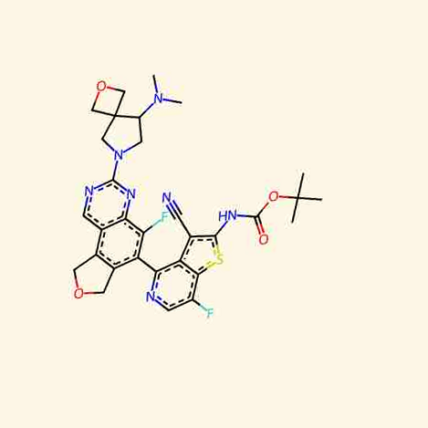 CN(C)C1CN(c2ncc3c4c(c(-c5ncc(F)c6sc(NC(=O)OC(C)(C)C)c(C#N)c56)c(F)c3n2)COC4)CC12COC2